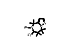 CC(C)C1N(C(C)C)C(C)(C)c2ccnn2C(C)(C)C1(C)C